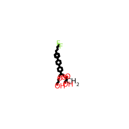 C=C(CO)C(=O)OCC(COCCCO)C1CCC(C2CCC(c3ccc(CCC=C(F)F)cc3)CC2)CC1